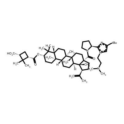 C=C(C)[C@@H]1CC[C@]2(C(=O)N3CCC[C@H]3c3nc(C(C)(C)C)cn3CCN(C)C)CC[C@]3(C)[C@H](CC[C@@H]4[C@@]5(C)CC[C@H](OC(=O)[C@H]6C[C@@H](C(=O)O)C6(C)C)C(C)(C)[C@@H]5CC[C@]43C)[C@@]12C